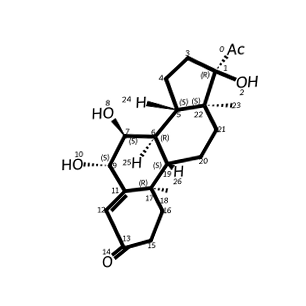 CC(=O)[C@@]1(O)CC[C@H]2[C@@H]3[C@H](O)[C@@H](O)C4=CC(=O)CC[C@]4(C)[C@H]3CC[C@@]21C